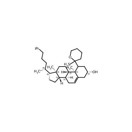 CC(C)CCC[C@@H](C)[C@H]1CC[C@H]2[C@@H]3CC=C4C[C@@H](O)CC(C5([SiH3])CCCCO5)[C@]4(C)[C@H]3CC[C@]12C